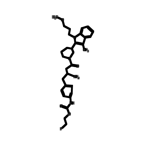 COCCCn1c(C2CCCN(C(=O)CC(N)Cc3ccc(NC(=O)OCCF)cc3)C2)c(C)c2ccccc21